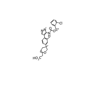 Cc1cc(C2(C)COC3(CC(=O)O)CC3C2)ccc1-c1cnn(C)c1NC(=O)O[C@H](C)c1ccccc1Cl